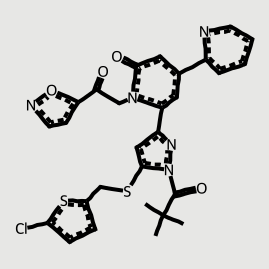 CC(C)(C)C(=O)n1nc(-c2cc(-c3ccccn3)cc(=O)n2CC(=O)c2ccno2)cc1SCc1ccc(Cl)s1